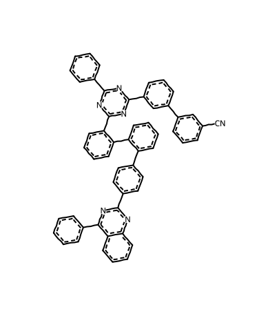 N#Cc1cccc(-c2cccc(-c3nc(-c4ccccc4)nc(-c4ccccc4-c4ccccc4-c4ccc(-c5nc(-c6ccccc6)c6ccccc6n5)cc4)n3)c2)c1